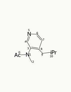 CC(=O)N(C)c1cnccc1CC(C)C